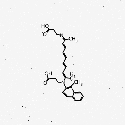 CC(/C=C/C=C/C=C/C=C(\C)N(CCC(=O)O)c1ccc2ccccc2c1C)=N/CCC(=O)O